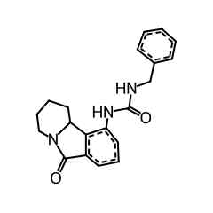 O=C(NCc1ccccc1)Nc1cccc2c1C1CCCCN1C2=O